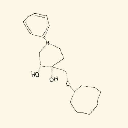 O[C@@H]1CN(c2ccccc2)CC[C@@]1(O)COC1CCCCCCC1